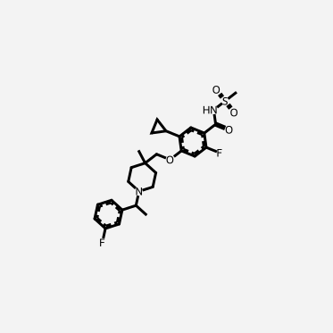 CC(c1cccc(F)c1)N1CCC(C)(COc2cc(F)c(C(=O)NS(C)(=O)=O)cc2C2CC2)CC1